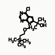 CC(C)(O)c1cc2c(Cl)ncnc2n1COCC[Si](C)(C)C